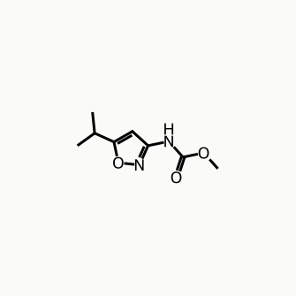 COC(=O)Nc1cc(C(C)C)on1